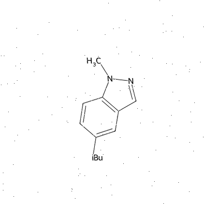 CCC(C)c1ccc2c(cnn2C)c1